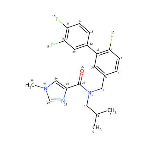 CC(C)CN(Cc1ccc(F)c(-c2ccc(F)c(F)c2)c1)C(=O)c1cn(C)cn1